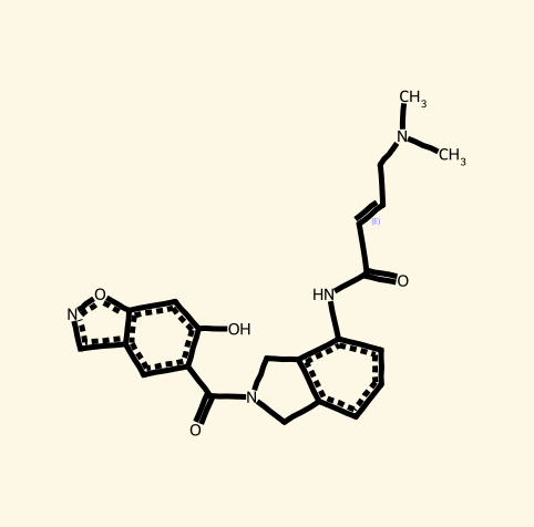 CN(C)C/C=C/C(=O)Nc1cccc2c1CN(C(=O)c1cc3cnoc3cc1O)C2